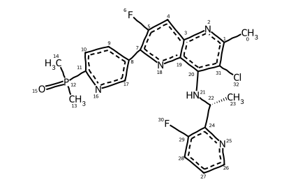 Cc1nc2cc(F)c(-c3ccc(P(C)(C)=O)nc3)nc2c(N[C@H](C)c2ncccc2F)c1Cl